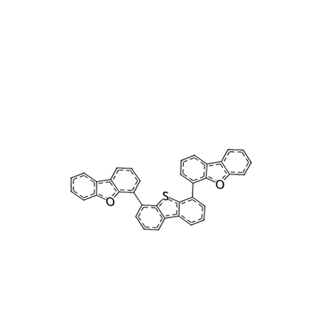 c1ccc2c(c1)oc1c(-c3cccc4c3sc3c(-c5cccc6c5oc5ccccc56)cccc34)cccc12